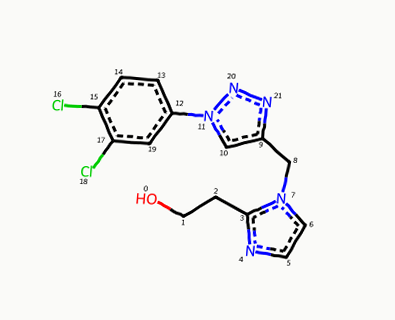 OCCc1nccn1Cc1cn(-c2ccc(Cl)c(Cl)c2)nn1